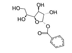 O=C(O[C@@H]1O[C@@H]([C@@H](O)CO)[C@@H](O)[C@@H]1O)c1ccccc1